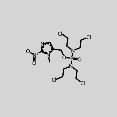 Cn1c(COP(=O)(N(CCCl)CCCl)N(CCCl)CCCl)cnc1[N+](=O)[O-]